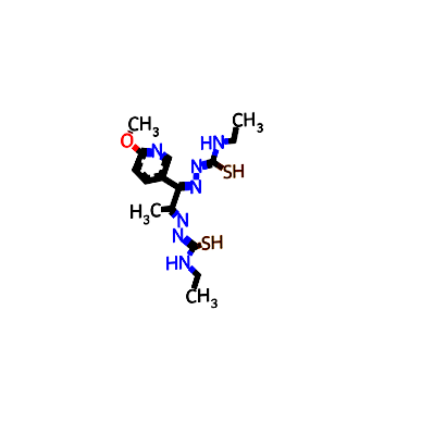 CCN/C(S)=N/N=C(C)/C(=N/N=C(\S)NCC)c1ccc(OC)nc1